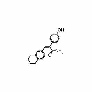 NC(=O)C(=Cc1ccc2c(c1)CCCC2)c1ccc(O)cc1